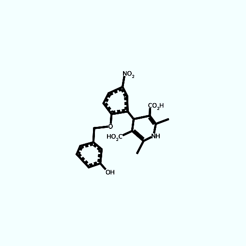 CC1=C(C(=O)O)C(c2cc([N+](=O)[O-])ccc2OCc2cccc(O)c2)C(C(=O)O)=C(C)N1